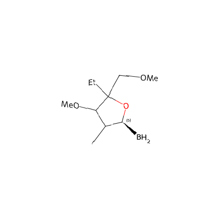 B[C@@H]1OC(CC)(COC)C(OC)C1C